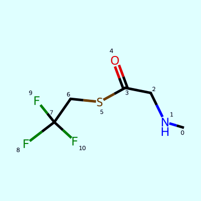 CNCC(=O)SCC(F)(F)F